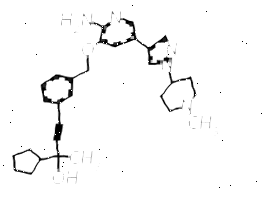 CN1CCC(n2cc(-c3cnc(N)c(OCc4cccc(C#CC(C)(O)C5CCCC5)c4)c3)cn2)CC1